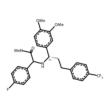 CNC(=O)C(N[C@@H](CCc1ccc(C(F)(F)F)cc1)c1ccc(OC)c(OC)c1)c1ccc(F)cc1